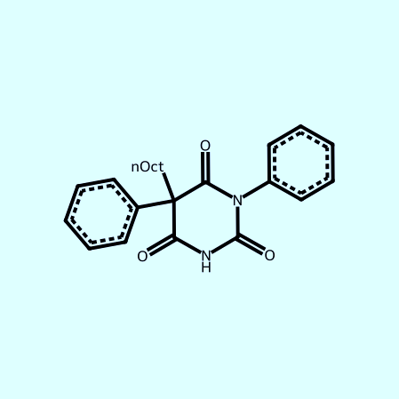 CCCCCCCCC1(c2ccccc2)C(=O)NC(=O)N(c2ccccc2)C1=O